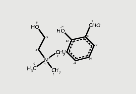 C[N+](C)(C)CCO.O=Cc1ccccc1O